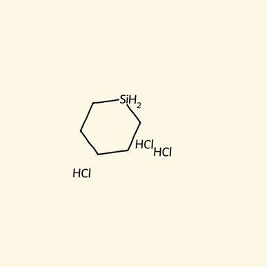 C1CC[SiH2]CC1.Cl.Cl.Cl